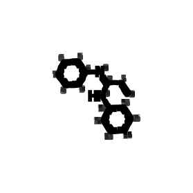 C=CC(=Nc1ccccc1)Nc1ccccc1